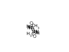 CC(N1CCN(C(C)C2(C3CCCCC3)C=NN=N2)CC1)C1(C2CCCCC2)C=NN=N1